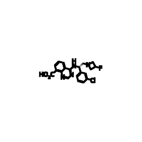 O=C(O)c1cccc2c(N[C@H](CN3CC(F)C3)c3cccc(Cl)c3)ncnc12